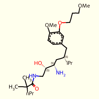 CCCC(C)(C)C(=O)NC[C@H](O)[C@@H](N)C[C@H](Cc1ccc(OC)c(OCCCOC)c1)C(C)C